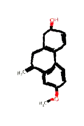 C=C1CC2=C(C=CC(O)C2)c2ccc(OC)cc21